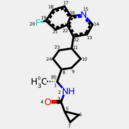 C[C@@H](NC(=O)C1CC1)C1CCC(c2ccnc3ccc(F)cc23)CC1